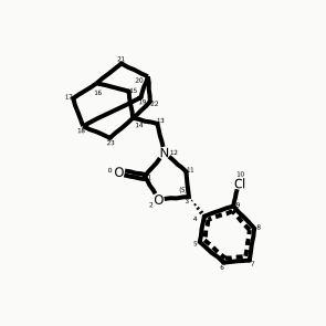 O=C1O[C@@H](c2ccccc2Cl)CN1CC12CC3CC(CC(C3)C1)C2